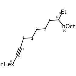 [CH2]CCCCCC#CCCCCCC(CC)CCCCCCC[CH2]